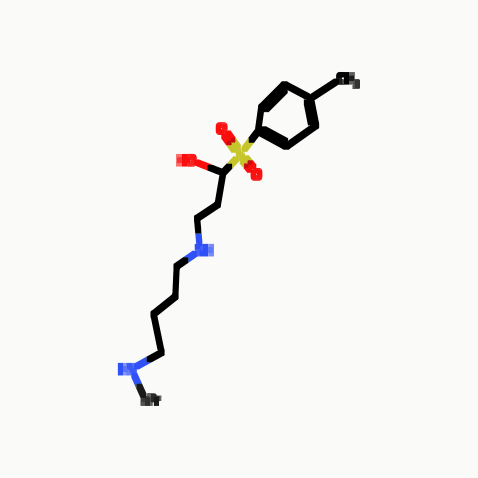 CCCNCCCCNCCC(O)S(=O)(=O)c1ccc(C)cc1